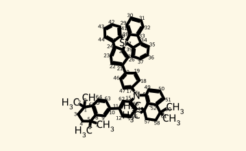 CC1(C)CCC(C)(C)c2cc(-c3cccc(N(c4ccc(-c5ccc6c(c5)[Si]5(c7ccccc7-c7ccccc75)c5ccccc5-6)cc4)c4cccc5c4C(C)(C)CCC5(C)C)c3)ccc21